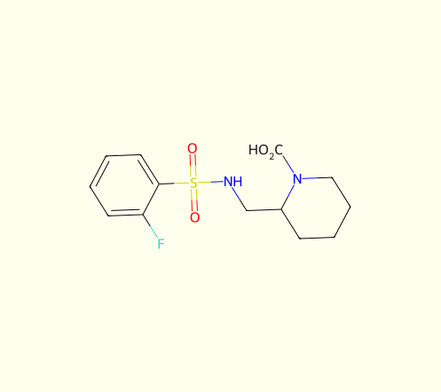 O=C(O)N1CCCCC1CNS(=O)(=O)c1ccccc1F